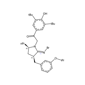 CCC[C@@H]1C[C@H](Cc2cccc(OC(C)C)c2)/C(=N/Br)N1CC(=O)c1cc(C(C)(C)C)c(O)c(C(C)(C)C)c1